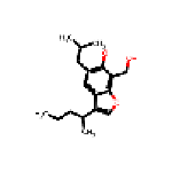 CCCC(C)c1coc2c(CO)c(O)c(CC(C)C)cc12